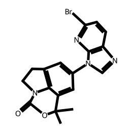 CC1(C)OC(=O)N2CCc3cc(-n4cnc5ccc(Br)nc54)cc1c32